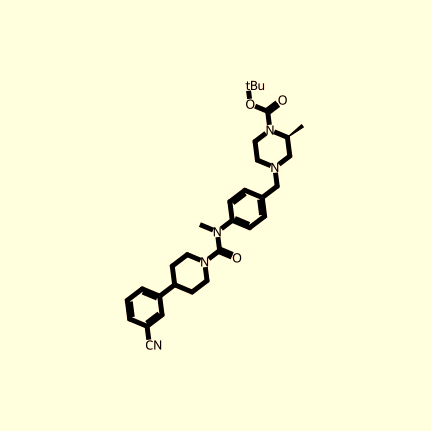 C[C@H]1CN(Cc2ccc(N(C)C(=O)N3CCC(c4cccc(C#N)c4)CC3)cc2)CCN1C(=O)OC(C)(C)C